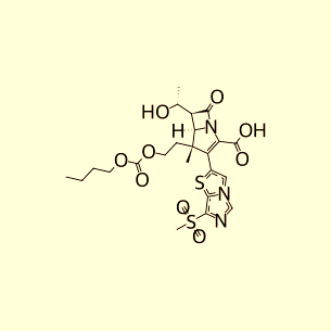 CCCCOC(=O)OCC[C@@]1(C)C(c2cn3cnc(S(C)(=O)=O)c3s2)=C(C(=O)O)N2C(=O)[C@H]([C@@H](C)O)[C@@H]21